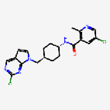 Cc1ncc(Cl)cc1C(=O)N[C@H]1CC[C@H](Cn2ccc3cnc(Cl)nc32)CC1